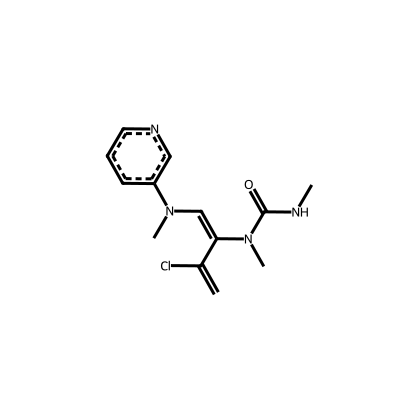 C=C(Cl)/C(=C\N(C)c1cccnc1)N(C)C(=O)NC